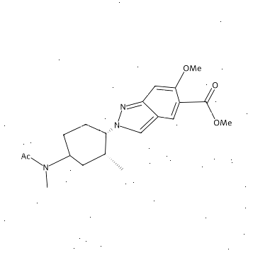 COC(=O)c1cc2cn([C@H]3CCC(N(C)C(C)=O)C[C@H]3C)nc2cc1OC